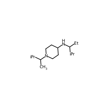 CCC(NC1CCN(C(C)C(C)C)CC1)C(C)C